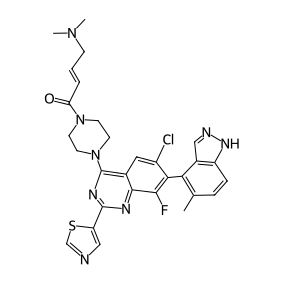 Cc1ccc2[nH]ncc2c1-c1c(Cl)cc2c(N3CCN(C(=O)/C=C/CN(C)C)CC3)nc(-c3cncs3)nc2c1F